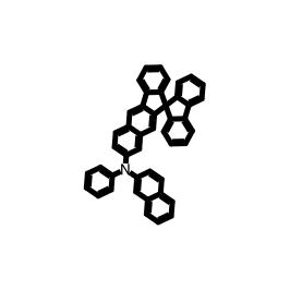 c1ccc(N(c2ccc3ccccc3c2)c2ccc3cc4c(cc3c2)C2(c3ccccc3-c3ccccc32)c2ccccc2-4)cc1